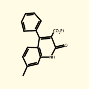 CCOC(=O)c1c(-c2ccccc2)c2ccc(C)cc2[nH]c1=O